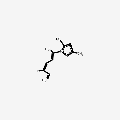 C=C/C(F)=C\C=C(/C)n1nc(C)cc1C